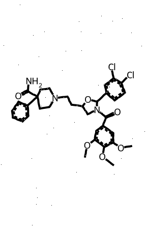 COc1cc(C(=O)N2CC(CCN3CCC(C(N)=O)(c4ccccc4)CC3)OC2c2ccc(Cl)c(Cl)c2)cc(OC)c1OC